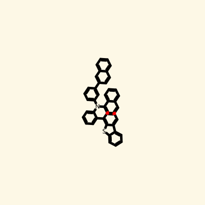 c1cc(-c2ccc3ccccc3c2)cc(N(c2ccccc2-c2cccc3c2sc2ccccc23)c2cccc3ccccc23)c1